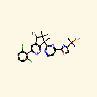 CCC1c2cc(-c3c(F)cccc3F)nnc2C(C)(c2nccc(-c3nc(C(C)(C)O)co3)n2)C1(C)C